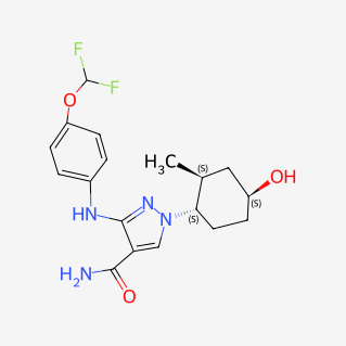 C[C@H]1C[C@@H](O)CC[C@@H]1n1cc(C(N)=O)c(Nc2ccc(OC(F)F)cc2)n1